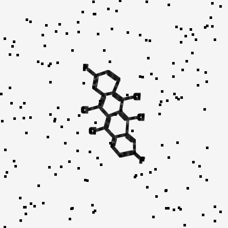 Fc1ccc2c(Cl)c3c(Cl)c4cc(F)ccc4c(Cl)c3c(Cl)c2c1